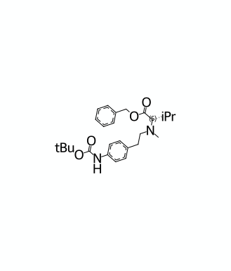 CC(C)[C@@H](C(=O)OCc1ccccc1)N(C)CCc1ccc(NC(=O)OC(C)(C)C)cc1